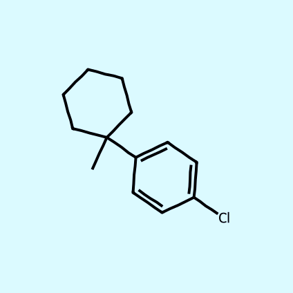 CC1(c2ccc(Cl)cc2)CCCCC1